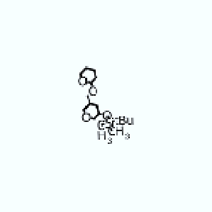 CC(C)(C)[Si](C)(C)O[C@H]1COC[C@@H](COC2CCCCO2)C1